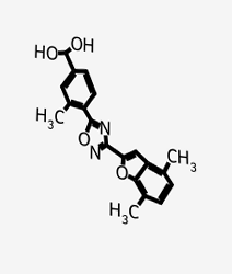 Cc1cc(C(O)O)ccc1-c1nc(-c2cc3c(C)ccc(C)c3o2)no1